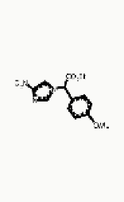 CCOC(=O)C(c1ccc(OC)cc1)n1cnc([N+](=O)[O-])c1